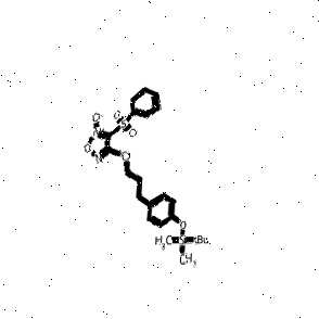 CC(C)(C)[Si](C)(C)Oc1ccc(CCCOc2no[n+]([O-])c2S(=O)(=O)c2ccccc2)cc1